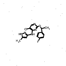 Cc1cc(Nc2nc(OC(C)c3ccc(F)cc3)ncc2Cl)n[nH]1